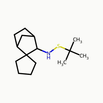 CC(C)(C)SNC1C2CCC(C2)C12CCCC2